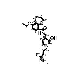 CCOc1ccc(C(=O)NC[C@@H]2CCN(CCCC(N)=O)CC2O)c2c1OCCCO2